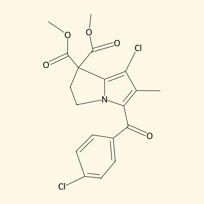 COC(=O)C1(C(=O)OC)CCn2c(C(=O)c3ccc(Cl)cc3)c(C)c(Cl)c21